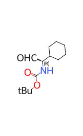 CC(C)(C)OC(=O)N[C@@H](C=O)C1CCCCC1